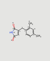 Cc1ccc(CC2=CC(=O)NC2=O)c(C)c1